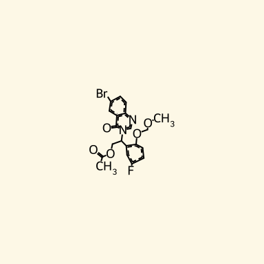 COCOc1ccc(F)cc1C(COC(C)=O)n1cnc2ccc(Br)cc2c1=O